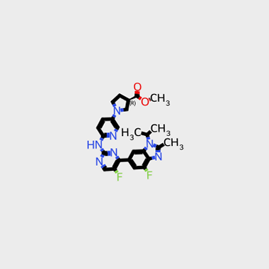 COC(=O)[C@@H]1CCN(c2ccc(Nc3ncc(F)c(-c4cc(F)c5nc(C)n(C(C)C)c5c4)n3)nc2)C1